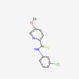 CCOc1ccc(C(=S)Nc2cccc(Cl)c2)nc1